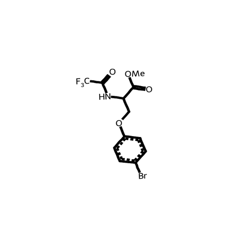 COC(=O)C(COc1ccc(Br)cc1)NC(=O)C(F)(F)F